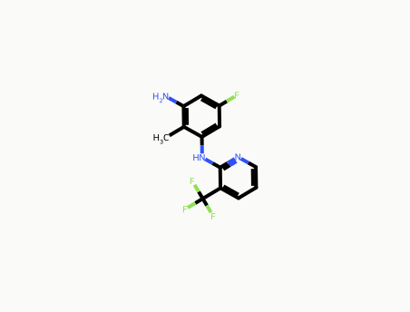 Cc1c(N)cc(F)cc1Nc1ncccc1C(F)(F)F